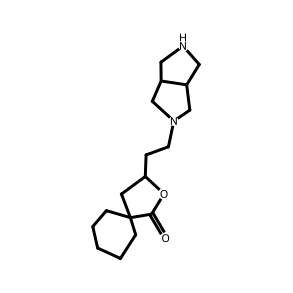 O=C1OC(CCN2CC3CNCC3C2)CC12CCCCC2